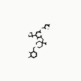 Cc1cc(Nc2cc(C3(C)COC3)c(F)c(CC3(C(=O)O)CCN(Cc4cccc(Cl)c4F)CC3)n2)n[nH]1